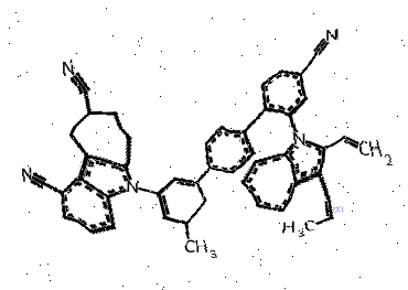 C=Cc1c(/C=C\C)c2ccccc2n1-c1cc(C#N)ccc1-c1ccc(C2=CC(n3c4c(c5c(C#N)cccc53)CC(C#N)CC4)=CC(C)C2)cc1